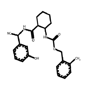 Cc1ccccc1COC(=O)NC1CCCCC1C(=O)NC(C#N)c1cccc(O)c1